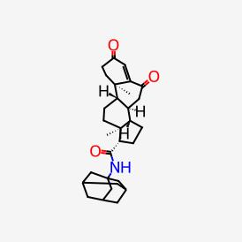 C[C@]12CC[C@H]3[C@@H](CC(=O)C4=CC(=O)CC[C@@]43C)[C@@H]1CC[C@@H]2C(=O)NC12CC3CC(CC(C3)C1)C2